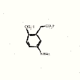 CC(=O)Nc1ccc(C(=O)O)c(CC(=O)O)c1